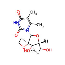 [2H]C(O)[C@@]1([2H])O[C@@H](n2c(C)c(C)c(=O)[nH]c2=O)[C@@]2(CCO2)[C@]1([2H])O